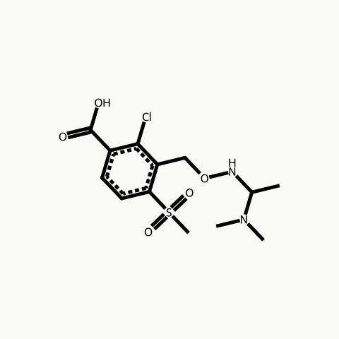 CC(NOCc1c(S(C)(=O)=O)ccc(C(=O)O)c1Cl)N(C)C